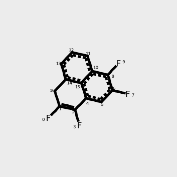 FC1=C(F)c2cc(F)c(F)c3cccc(c23)C1